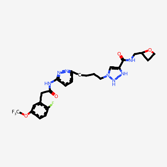 O=C(Cc1cc(OC(F)(F)F)ccc1F)Nc1ccc(CCCCN2C=C(C(=O)NCC3CCO3)NN2)nn1